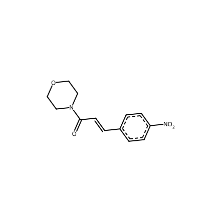 O=C(C=Cc1ccc([N+](=O)[O-])cc1)N1CCOCC1